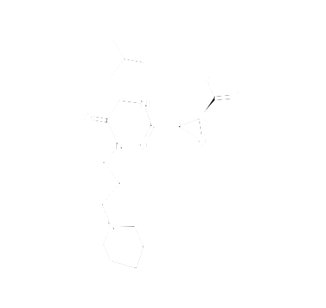 CC(C)C[C@H](NC(=O)[C@H]1O[C@@H]1C(=O)O)C(=O)NCCCN1CCCCC1